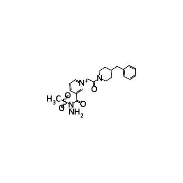 CS(=O)(=O)N(N)C(=O)c1ccc[n+](CC(=O)N2CCC(Cc3ccccc3)CC2)c1